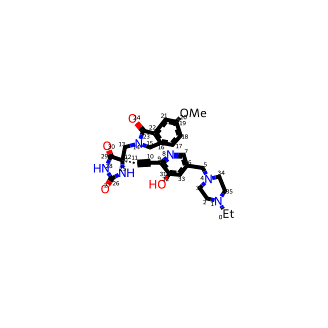 CCN1CCN(Cc2cnc(C#C[C@]3(CN4Cc5ccc(OC)cc5C4=O)NC(=O)NC3=O)c(O)c2)CC1